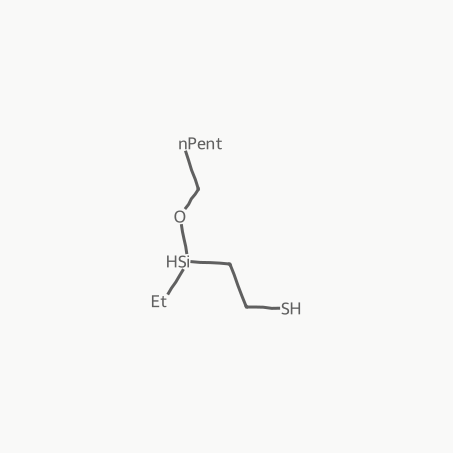 CCCCCCO[SiH](CC)CCS